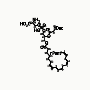 CCCCC/C=C\C/C=C\C/C=C\C/C=C\CCCCCC(=O)OC[C@H](COP(=O)(O)OC[C@H](N)C(=O)O)OC(=O)CCCCCCCCCCC